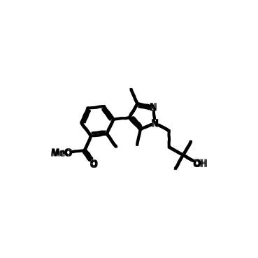 COC(=O)c1cccc(-c2c(C)nn(CCC(C)(C)O)c2C)c1C